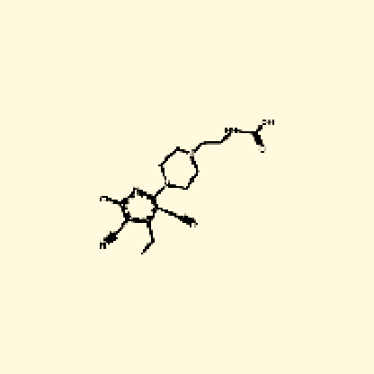 CCc1c(C#N)c(Cl)nc(N2CCN(CCNC(=O)O)CC2)c1C#N